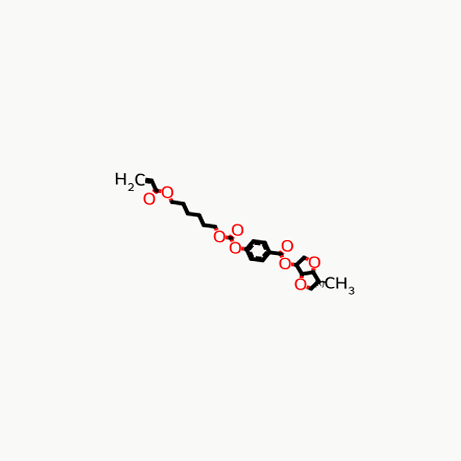 C=CC(=O)OCCCCCCOC(=O)Oc1ccc(C(=O)OC2COC3C2OC[C@H]3C)cc1